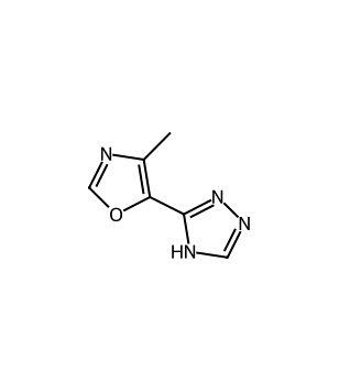 Cc1ncoc1-c1nnc[nH]1